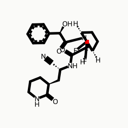 N#C[C@@H](C[C@@H]1CCCNC1=O)NC(=O)[C@@H]1[C@@H]2CC[C@@H](CC2(F)F)N1C(=O)[C@H](O)c1ccccc1